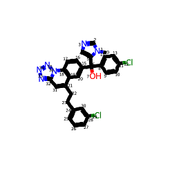 Cn1cncc1C(O)(c1ccc(Cl)cc1)c1ccc2c(c1)c(CCc1cccc(Cl)c1)cc1nnnn12